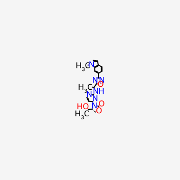 CC(Nc1nccc(N2C(=O)OC[C@@H]2[C@@H](C)O)n1)c1nc(-c2ccc3ccn(C)c3c2)no1